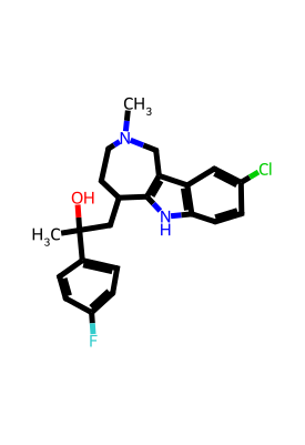 CN1CCC(CC(C)(O)c2ccc(F)cc2)c2[nH]c3ccc(Cl)cc3c2C1